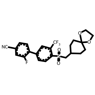 N#Cc1ccc(-c2ccc(S(=O)(=O)CC3CCC4(CC3)OCCO4)c(C(F)(F)F)c2)c(F)c1